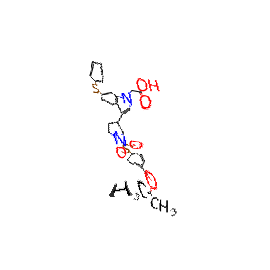 CC(C)OC1=CCC(S(=O)(=O)N2CCC(c3cn(CC(=O)O)c4cc(Sc5ccccc5)ccc34)C2)C=C1